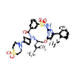 Cc1cccc(C)c1-c1cc2nc(n1)NS(=O)(=O)c1cccc(c1)C(=O)N(C1CC(N3CCS(=O)(=O)CC3)C1)[C@H](CC(C)C)CO2